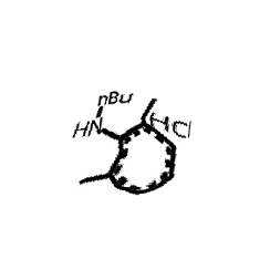 CCCCNc1c(C)cccc1C.Cl